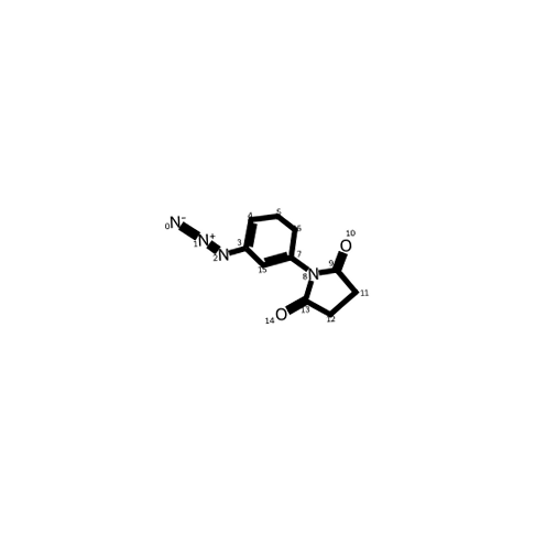 [N-]=[N+]=NC1=CC[CH]C(N2C(=O)CCC2=O)=C1